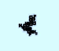 Cc1cc(NCC2(C=O)C(c3ccc(F)c(Cl)c3)C2(Cl)Cl)cc(C(=O)Nc2ccc(F)c(N)c2F)c1Cl